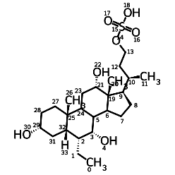 CC[C@H]1[C@@H](O)C2C3CC[C@H]([C@H](C)CCOS(=O)(=O)O)[C@@]3(C)[C@@H](O)CC2[C@@]2(C)CC[C@@H](O)C[C@@H]12